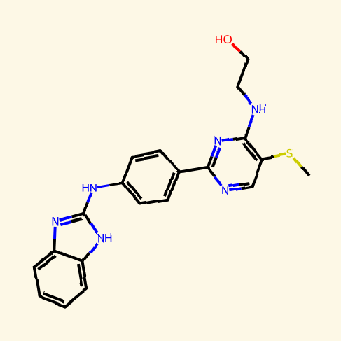 CSc1cnc(-c2ccc(Nc3nc4ccccc4[nH]3)cc2)nc1NCCO